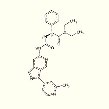 CCN(CC)C(=O)[C@@H](NC(=O)Nc1cc2cnn(-c3ccnc(C)c3)c2cn1)c1ccccc1